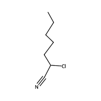 CCCCCC(Cl)C#N